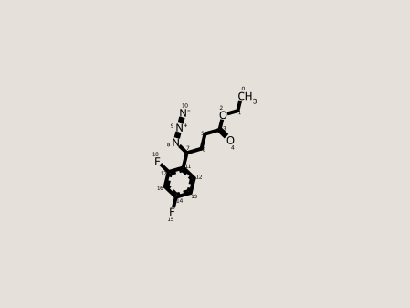 CCOC(=O)CCC(N=[N+]=[N-])c1ccc(F)cc1F